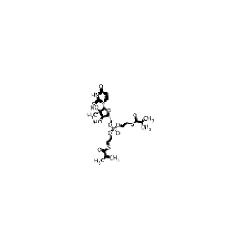 CC(C)C(=O)SCCOP(=O)(OCCSC(=O)C(C)C)OC[C@H]1O[C@@H](n2ccc(=O)[nH]c2=S)[C@](C)(O)C1O